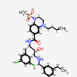 CCCCN1CCN(S(C)(=O)=O)c2ccc(C(=O)N[C@@H](Cc3cc(F)cc(F)c3)[C@H](O)CNCc3cccc(CC)c3)cc21